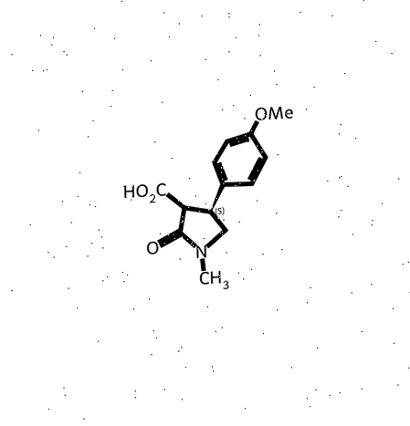 COc1ccc([C@H]2CN(C)C(=O)C2C(=O)O)cc1